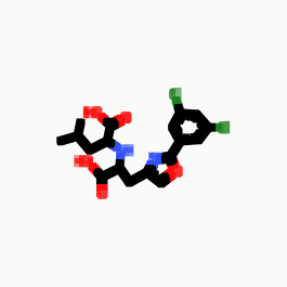 CC(C)CC(NC(Cc1coc(-c2cc(Cl)cc(Cl)c2)n1)C(=O)O)C(=O)O